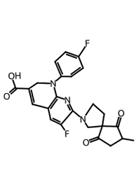 CC1CC(=O)C2(CCN(c3nc4c(cc3F)C=C(C(=O)O)CN4c3ccc(F)cc3)C2)C1=O